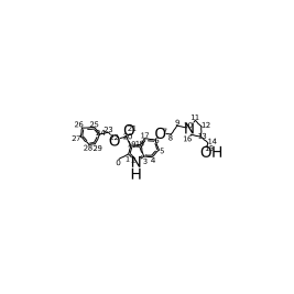 Cc1[nH]c2ccc(OCCN3CCC(CO)C3)cc2c1C(=O)OCc1ccccc1